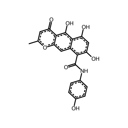 Cc1cc(=O)c2c(O)c3c(O)cc(O)c(C(=O)Nc4ccc(O)cc4)c3cc2o1